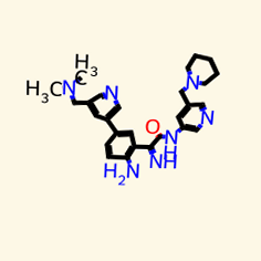 CN(C)Cc1cncc(-c2ccc(N)c(C(=N)C(=O)Nc3cncc(CN4CCCCC4)c3)c2)c1